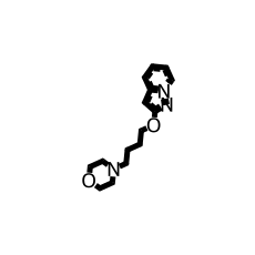 c1ccn2nc(OCCCCN3CCOCC3)cc2c1